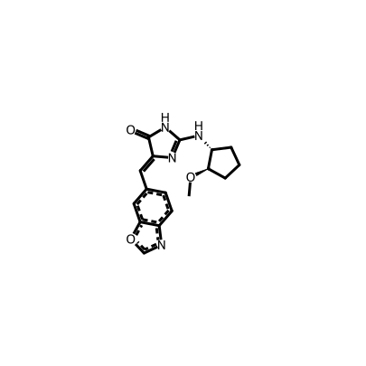 CO[C@@H]1CCC[C@H]1NC1=N/C(=C\c2ccc3ncoc3c2)C(=O)N1